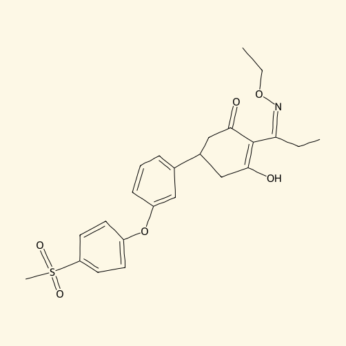 CCO/N=C(/CC)C1=C(O)CC(c2cccc(Oc3ccc(S(C)(=O)=O)cc3)c2)CC1=O